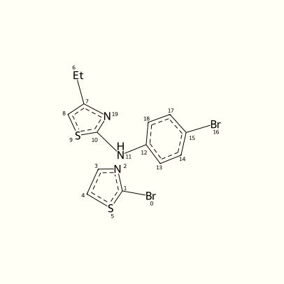 Brc1nccs1.CCc1csc(Nc2ccc(Br)cc2)n1